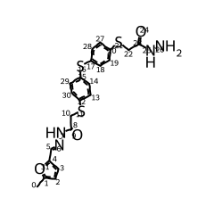 Cc1ccc(C=NNC(=O)CSc2ccc(Sc3ccc(SCC(=O)NN)cc3)cc2)o1